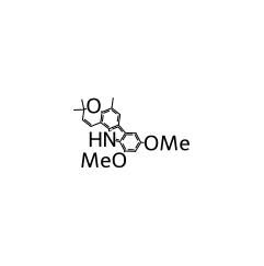 COc1cc(OC)c2[nH]c3c4c(c(C)cc3c2c1)OC(C)(C)C=C4